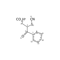 N#CSC(CC(=O)O)C(=O)c1ccccc1